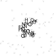 Cc1nc(-c2ccc3c(-c4nc(N[C@H]5CCCN(C(=O)OC(C)(C)C)C5)ncc4C(F)(F)F)nn(C4CCCCO4)c3n2)no1